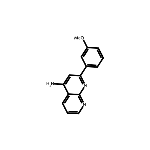 COc1cccc(-c2cc(N)c3cccnc3n2)c1